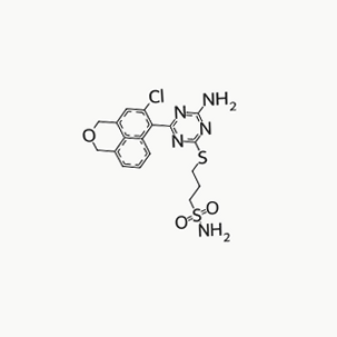 Nc1nc(SCCCS(N)(=O)=O)nc(-c2c(Cl)cc3c4c(cccc24)COC3)n1